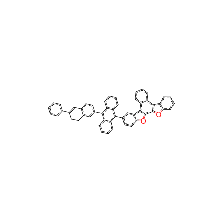 C1=C(c2ccccc2)CCc2cc(-c3c4ccccc4c(-c4ccc5oc6c7oc8ccccc8c7c7ccccc7c6c5c4)c4ccccc34)ccc21